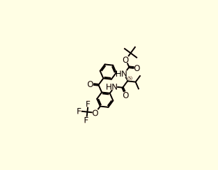 CC(C)[C@H](NC(=O)OC(C)(C)C)C(=O)Nc1ccc(OC(F)(F)F)cc1C(=O)c1ccccc1